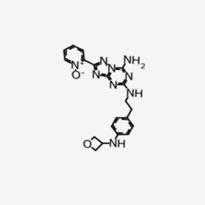 Nc1nc(NCCc2ccc(NC3COC3)cc2)nc2nc(-c3cccc[n+]3[O-])nn12